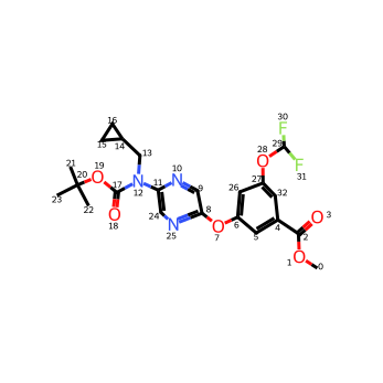 COC(=O)c1cc(Oc2cnc(N(CC3CC3)C(=O)OC(C)(C)C)cn2)cc(OC(F)F)c1